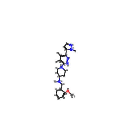 Cc1c(-c2ccnn2C)nnc(N2CCC(N(C)Cc3ccccc3OC(F)(F)F)CC2)c1C